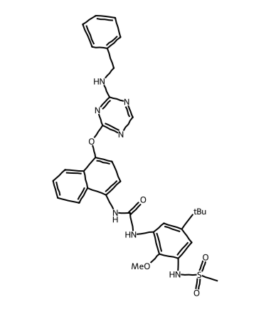 COc1c(NC(=O)Nc2ccc(Oc3ncnc(NCc4ccccc4)n3)c3ccccc23)cc(C(C)(C)C)cc1NS(C)(=O)=O